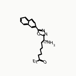 CCC(=O)CCCCC[C@H](N)c1nnc(-c2ccc3ccccc3c2)o1